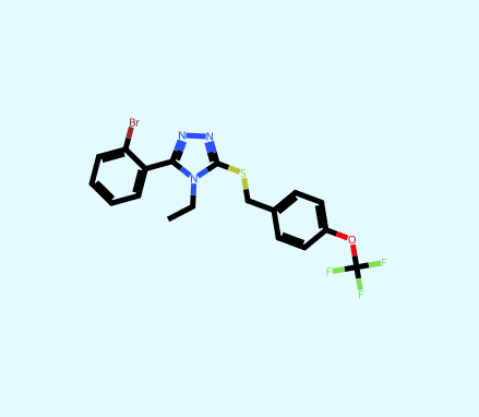 CCn1c(SCc2ccc(OC(F)(F)F)cc2)nnc1-c1ccccc1Br